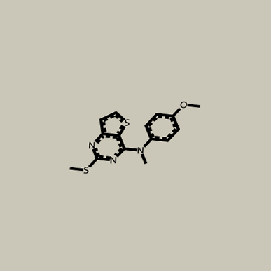 COc1ccc(N(C)c2nc(SC)nc3ccsc23)cc1